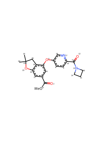 COC(=O)c1cc(Oc2ccc(C(=O)N3CCC3)nc2)c2c(c1)OC(C)(C)C2